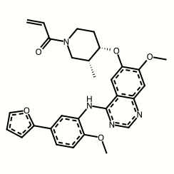 C=CC(=O)N1CC[C@H](Oc2cc3c(Nc4cc(-c5ccco5)ccc4OC)ncnc3cc2OC)[C@H](C)C1